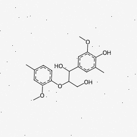 COc1cc(C)ccc1OC(CO)C(O)c1cc(C)c(O)c(OC)c1